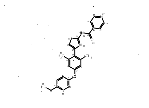 Cc1cc(Oc2ccc(CO)nc2)cc(C)c1-c1csc(NC(=O)c2ccncc2)n1